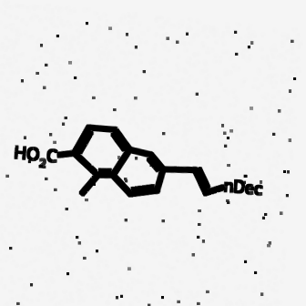 CCCCCCCCCCC=Cc1ccc2c(C)c(C(=O)O)ccc2c1